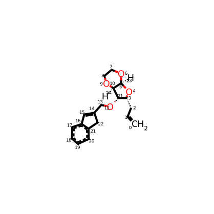 C=CC[C@H]1O[C@@H]2OCCO[C@@H]2[C@H]1OCC1=Cc2ccccc2C1